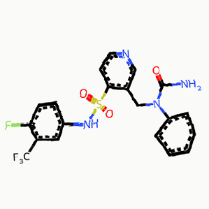 NC(=O)N(Cc1cnccc1S(=O)(=O)Nc1ccc(F)c(C(F)(F)F)c1)c1ccccc1